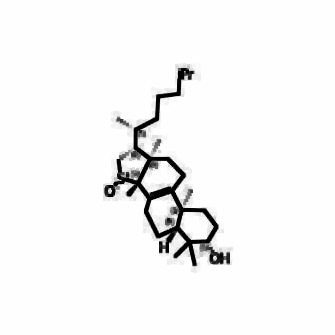 CC(C)CCC[C@@H](C)[C@H]1C[S+]([O-])[C@@]2(C)C3=C(CC[C@]12C)[C@@]1(C)CC[C@H](O)C(C)(C)[C@@H]1CC3